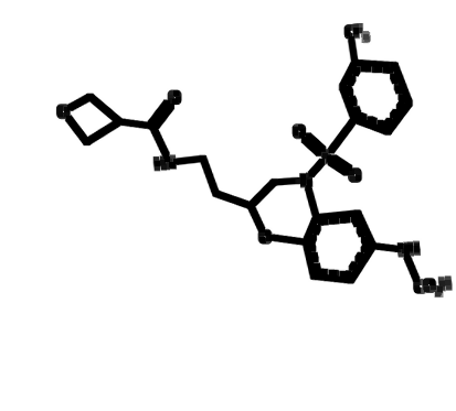 O=C(O)Nc1ccc2c(c1)N(S(=O)(=O)c1cccc(C(F)(F)F)c1)CC(CCNC(=O)C1COC1)O2